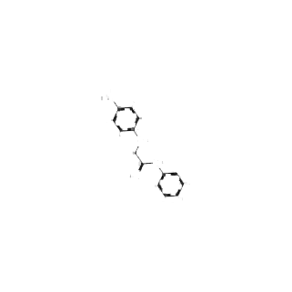 CCC(C)c1ccc(OCC(=O)Oc2ccccc2)cc1